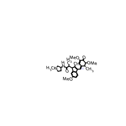 COC1=C/C(=C\C2=C(C)C(C(C)C(=O)NC3CCN(C)C3)c3cc(OC)ccc32)C(C)C(OC)C1=O